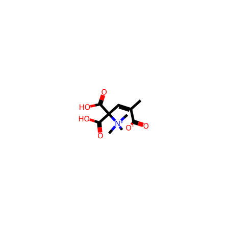 CC(=CC(C(=O)O)(C(=O)O)[N+](C)(C)C)C(=O)[O-]